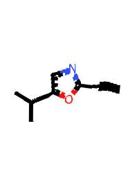 C#Cc1ncc(C(C)C)o1